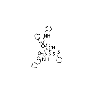 CC1(CSC(=S)N2CCCCC2)SC2C(NC(=O)Cc3ccccc3)C(=O)N2C1C(=O)ON(CCNCc1ccccc1)Cc1ccccc1